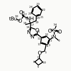 CN(c1cc(COC2CCC2)cc(-c2nnc(C(C)(Cc3ccccc3)NC(=O)OC(C)(C)C)o2)c1)S(C)(=O)=O